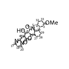 COc1ccc(Cn2c(=O)c3c(O)c(Sc4nc(C)cc(C)n4)c(=O)oc3c3ccccc32)cc1